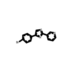 Brc1ccc(-c2csc(-c3cccnc3)n2)cc1